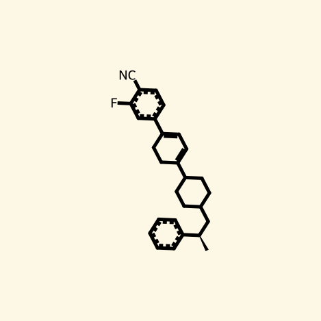 C[C@H](CC1CCC(C2=CC=C(c3ccc(C#N)c(F)c3)CC2)CC1)c1ccccc1